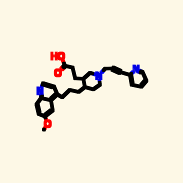 COc1ccc2nccc(CCCC3CCN(CC#Cc4ccccn4)CC3CCC(=O)O)c2c1